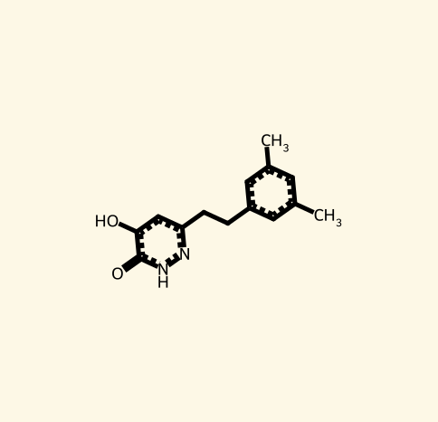 Cc1cc(C)cc(CCc2cc(O)c(=O)[nH]n2)c1